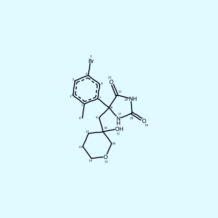 Cc1ccc(Br)cc1C1(CC2(O)CCCOC2)NC(=O)NC1=O